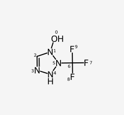 ON1C=NNN1C(F)(F)F